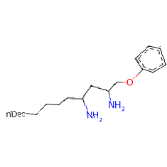 CCCCCCCCCCCCCCC(N)CC(N)COc1cc[c]cc1